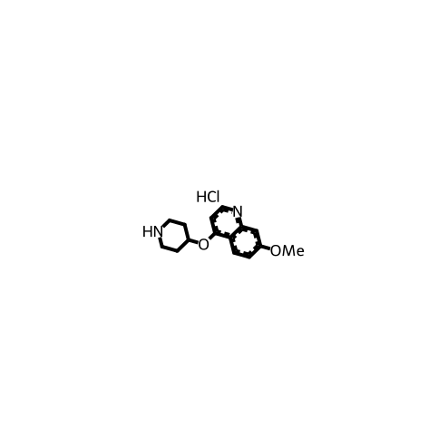 COc1ccc2c(OC3CCNCC3)ccnc2c1.Cl